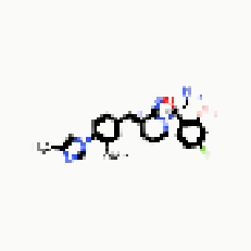 Bc1cc(F)ccc1[C@]1(CN)ON=C2/C(=C/c3ccc(-n4cnc(C)c4)c(OC)c3)CCCN21